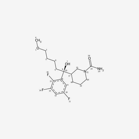 COCCCC[C@@](O)(c1cc(F)cc(F)c1F)C1CCCN(C(N)=O)C1